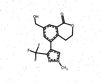 Cn1cc(-c2cc(CO)cc3c2CCOC3=O)c(C(F)(F)F)n1